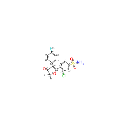 CC1(C)OC(c2ccc(S(N)(=O)=O)cc2Cl)=C(c2ccc(F)cc2)C1=O